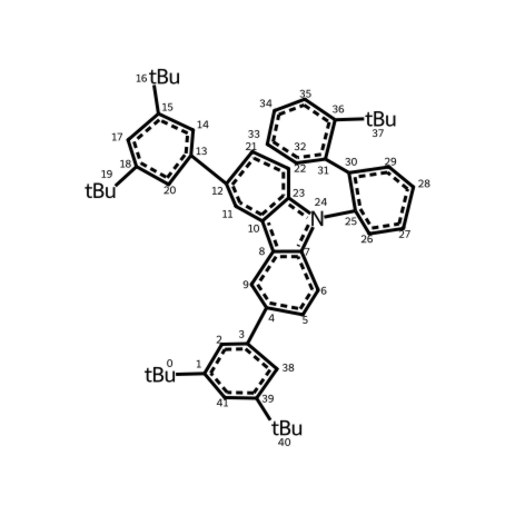 CC(C)(C)c1cc(-c2ccc3c(c2)c2cc(-c4cc(C(C)(C)C)cc(C(C)(C)C)c4)ccc2n3-c2ccccc2-c2ccccc2C(C)(C)C)cc(C(C)(C)C)c1